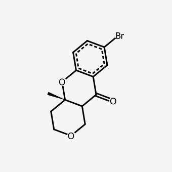 C[C@]12CCOCC1C(=O)c1cc(Br)ccc1O2